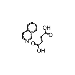 O=C(O)C=CC(=O)O.c1ccc2cnccc2c1